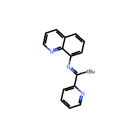 CC(C)(C)/C(=N\c1cccc2cccnc12)c1ccccn1